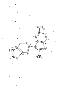 Cc1ccc2nc(C(F)(F)F)n(-c3ccc4[nH]ncc4c3)c2n1